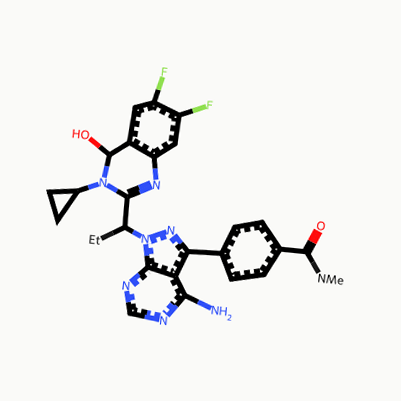 CCC(C1=Nc2cc(F)c(F)cc2C(O)N1C1CC1)n1nc(-c2ccc(C(=O)NC)cc2)c2c(N)ncnc21